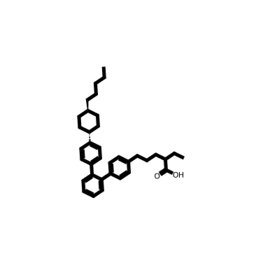 CCCCC[C@H]1CC[C@H](c2ccc(-c3ccccc3-c3ccc(CCCC(CC)C(=O)O)cc3)cc2)CC1